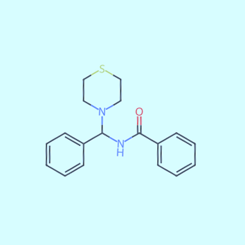 O=C(NC(c1ccccc1)N1CCSCC1)c1ccccc1